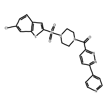 O=C(c1ccc(-c2ccncc2)nn1)N1CCN(S(=O)(=O)c2cc3ccc(Cl)cc3s2)CC1